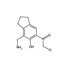 NCc1c(O)c(C(=O)CCl)cc2c1CCC2